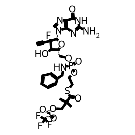 C#CC1(F)C(O)[C@@H](COP(=O)(NCc2ccccc2)OCCSC(=O)C(C)(C)COS(=O)(=O)C(F)(F)F)O[C@H]1n1cnc2c(=O)[nH]c(N)nc21